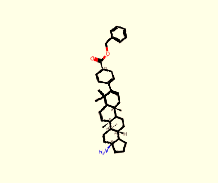 CC1(C)C(C2=CC[C@H](C(=O)OCc3ccccc3)CC2)=CC[C@@]2(C)C1CC[C@]1(C)C2CC[C@@H]2C3CCC[C@]3(N)CC[C@]21C